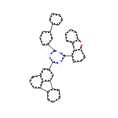 c1ccc(-c2cccc(-c3nc(-c4cc5c6c(cccc6c4)-c4ccccc4-5)nc(-c4cccc5oc6ccccc6c45)n3)c2)cc1